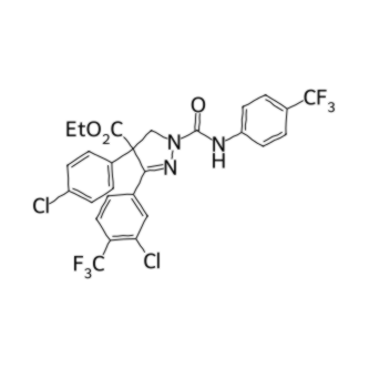 CCOC(=O)C1(c2ccc(Cl)cc2)CN(C(=O)Nc2ccc(C(F)(F)F)cc2)N=C1c1ccc(C(F)(F)F)c(Cl)c1